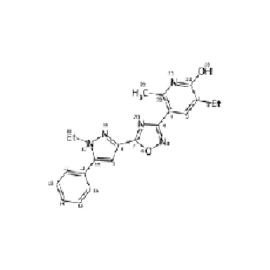 CCc1cc(-c2noc(-c3cc(-c4ccccc4)n(CC)n3)n2)c(C)nc1O